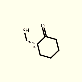 O=C1CCCC[C@@H]1CS